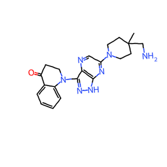 CC1(CN)CCN(c2cnc3c(N4CCC(=O)c5ccccc54)n[nH]c3n2)CC1